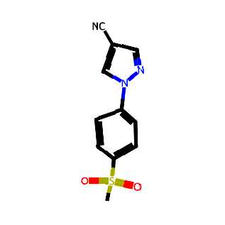 CS(=O)(=O)c1ccc(-n2cc(C#N)cn2)cc1